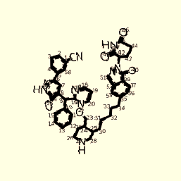 N#Cc1cccc(-c2cc(C(c3ccccc3)C3N=CC=CN3OCC3CCNCC3CCCCCc3ccc4c(=O)n(C5CCC(=O)NC5=O)ncc4c3)c(=O)[nH]n2)c1